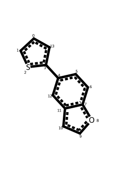 c1csc(-c2ccc3occc3c2)c1